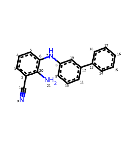 N#Cc1cccc(Nc2cccc(-c3ccccc3)c2)c1N